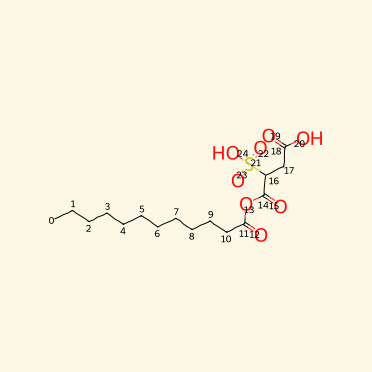 CCCCCCCCCCCC(=O)OC(=O)C(CC(=O)O)S(=O)(=O)O